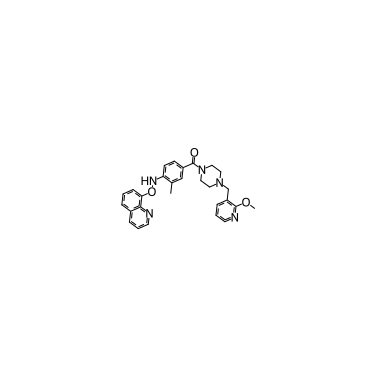 COc1ncccc1CN1CCN(C(=O)c2ccc(NOc3cccc4cccnc34)c(C)c2)CC1